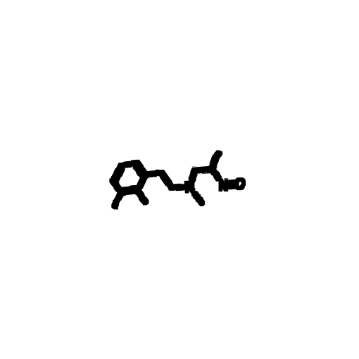 Cc1cccc(CCN(C)CC(C)N=O)c1C